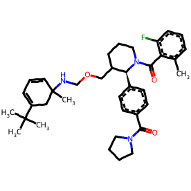 Cc1cccc(F)c1C(=O)N1CCCC(COCNC2(C)C=CC=C(C(C)(C)C)C2)[C@@H]1c1ccc(C(=O)N2CCCC2)cc1